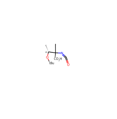 C[C@@H](OC(C)(C)C)C(C)(N=C=O)C(=O)O